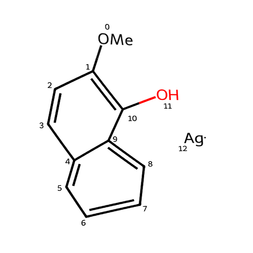 COc1ccc2ccccc2c1O.[Ag]